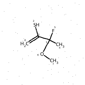 C=C(S)C(C)(F)OC